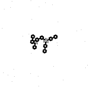 c1ccc(-c2ccc(-c3nc(-c4ccc(-c5ccccc5)cc4)nc(-c4cccc(-c5ccc6c(c5)nc(-c5ccccc5)c5cccc(-c7ccccc7)c56)c4)n3)cc2)cc1